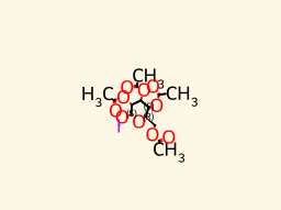 CC(=O)OC[C@H]1O[C@@H](OI)C(OC(C)=O)C(OC(C)=O)[C@H]1OC(C)=O